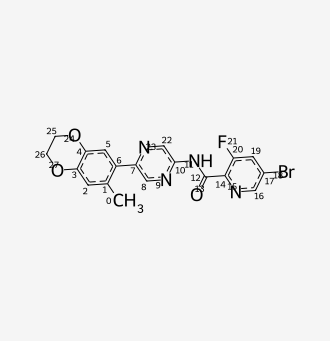 Cc1cc2c(cc1-c1cnc(NC(=O)c3ncc(Br)cc3F)cn1)OCCO2